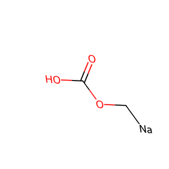 O=C(O)O[CH2][Na]